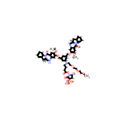 COCCOCCOCCN(CCCC(=O)ON1C(=O)CC(S(=O)(=O)O)C1=O)c1cc(COc2cc3c(cc2OC)C(=O)N2c4ccccc4C[C@H]2C=N3)cc(COc2cc3c(cc2OC)C(=O)N2c4ccccc4C[C@H]2CN3)c1